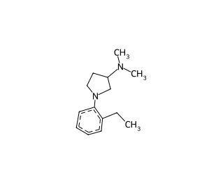 CCc1ccccc1N1CCC(N(C)C)C1